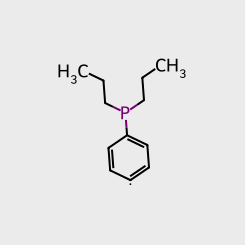 CCCP(CCC)c1cc[c]cc1